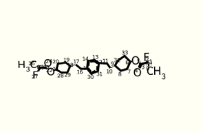 C[C@H](F)C(=O)O[C@H]1CC[C@H](CCc2ccc(CC[C@H]3CC[C@H](OC(=O)[C@H](C)F)CC3)cc2)CC1